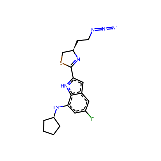 [N-]=[N+]=NCC[C@@H]1CSC(c2cc3cc(F)cc(NC4CCCC4)c3[nH]2)=N1